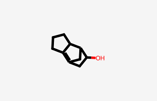 OC1CC2=C3CCCC3C1C2